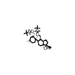 C#C[C@]1(O)CCC2[C@H](CO[Si](C)(C)C(C)(C)C)C([C@@]3(C)CC[C@H](C)C[C@@H]3CO[Si](C)(C)C(C)(C)C)CC[C@@]21C